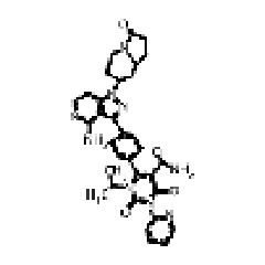 CC(C)n1c(-c2ccc(-c3nn(C4CCN5C(=O)CCC5C4)c4ccnc(N)c34)cc2)c(C(N)=O)c(=O)n(-c2ccccn2)c1=O